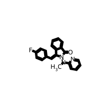 CN(c1ccccn1)N1C(=O)c2ccccc2C1=Cc1ccc(F)cc1